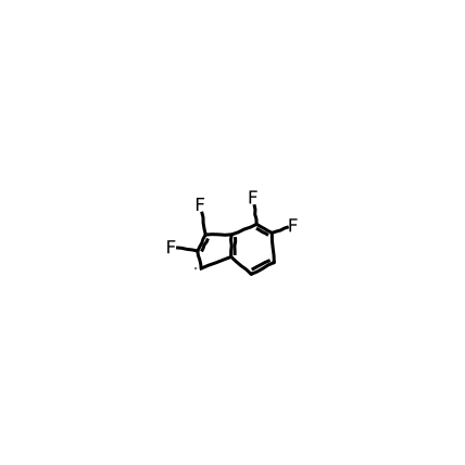 FC1=C(F)c2c(ccc(F)c2F)[CH]1